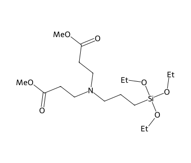 CCO[Si](CCCN(CCC(=O)OC)CCC(=O)OC)(OCC)OCC